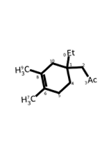 CCC1(CC(C)=O)CCC(C)=C(C)C1